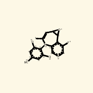 CC1=CC2OC2c2c(F)cncc2N1c1c(Cl)cc(C#N)cc1Cl